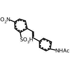 CC(=O)Nc1ccc(C=Cc2ccc([N+](=O)[O-])cc2S(=O)(=O)O)cc1